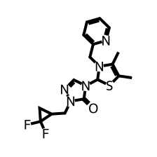 CC1=C(C)N(Cc2ccccn2)C(n2cnn(CC3CC3(F)F)c2=O)S1